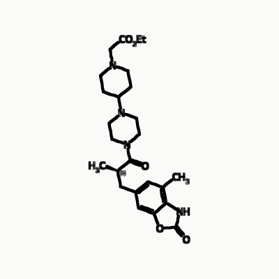 CCOC(=O)CN1CCC(N2CCN(C(=O)[C@H](C)Cc3cc(C)c4[nH]c(=O)oc4c3)CC2)CC1